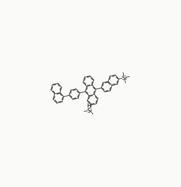 C[SiH](C)c1ccc2c(-c3ccc4cc([Si](C)(C)C)ccc4c3)c3ccccc3c(-c3ccc(-c4cccc5ccccc45)cc3)c2c1